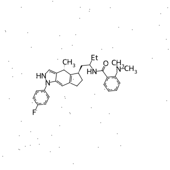 CCC(C[C@H]1CCC2=C1[C@@H](C)C1=CNN(c3ccc(F)cc3)C1=C2)NC(=O)c1ccccc1N(C)C